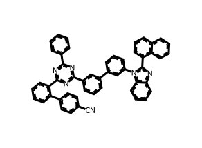 N#Cc1ccc(-c2ccccc2-c2nc(-c3ccccc3)nc(-c3cccc(-c4cccc(-n5c(-c6cccc7ccccc67)nc6ccccc65)c4)c3)n2)cc1